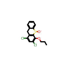 CCCOc1c(Cl)cc(Cl)c2c1[S+]([O-])c1ccccc1C2